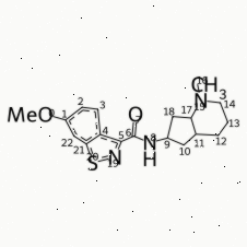 COc1ccc2c(C(=O)NC3CC4CCCN(C)C4C3)nsc2c1